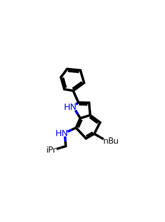 CCCCc1cc(NCC(C)C)c2[nH]c(-c3ccccc3)cc2c1